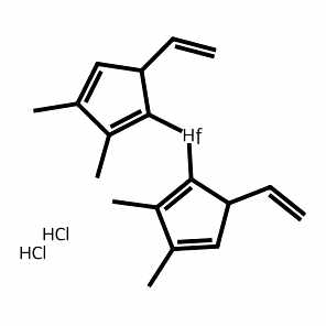 C=CC1C=C(C)C(C)=[C]1[Hf][C]1=C(C)C(C)=CC1C=C.Cl.Cl